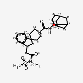 CN(C(=O)CC1CC2(CCN(C(=O)NC3C4CC5CC(C4)CC3C5)CC2)c2ccccc21)S(C)(=O)=O